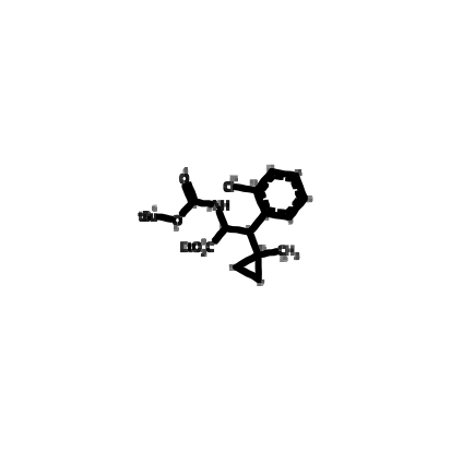 CCOC(=O)C(NC(=O)OC(C)(C)C)C(c1ccccc1Cl)C1(C)CC1